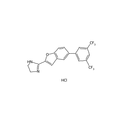 Cl.FC(F)(F)c1cc(-c2ccc3oc(C4=NCCN4)cc3c2)cc(C(F)(F)F)c1